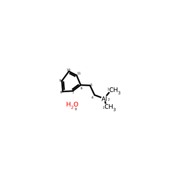 O.[CH3][Al]([CH3])[CH2]Cc1ccccc1